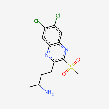 CC(N)CCc1nc2cc(Cl)c(Cl)cc2nc1S(C)(=O)=O